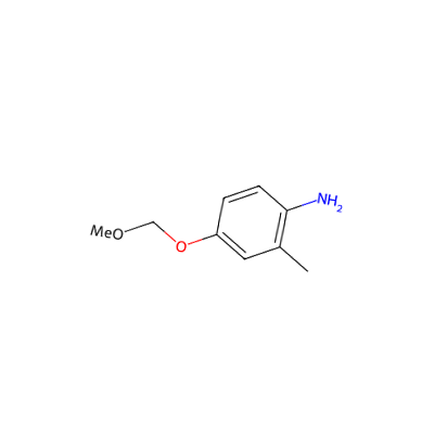 COCOc1ccc(N)c(C)c1